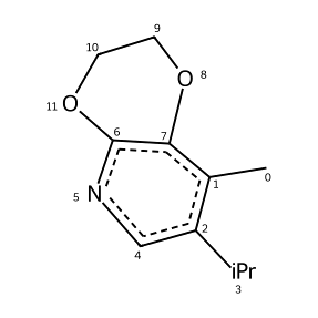 Cc1c(C(C)C)cnc2c1OCCO2